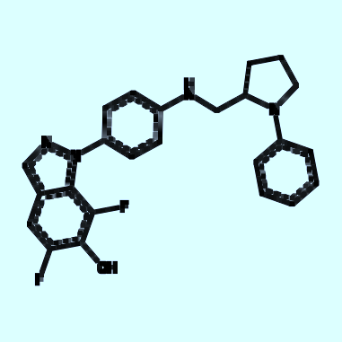 Oc1c(F)cc2cnn(-c3ccc(NCC4CCCN4c4ccccc4)cc3)c2c1F